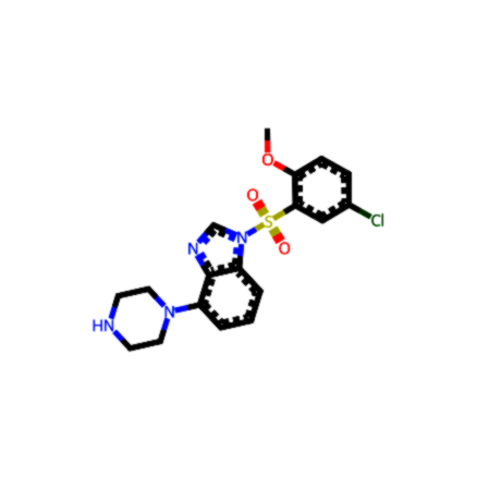 COc1ccc(Cl)cc1S(=O)(=O)n1cnc2c(N3CCNCC3)cccc21